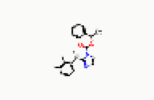 CCC(OC(=O)n1ccnc1[C@@H](C)c1cccc(C)c1C)c1ccccc1